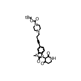 Cn1c(=O)n(C2C(=O)CCNC2=O)c2ccc(C#CCCN3CCN(C(=O)OC(C)(C)C)CC3)cc21